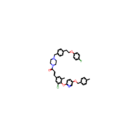 Cc1ccc(COc2ccc(Oc3c(C)cc(C=CC(=O)N4CCN(Cc5ccc(CCOc6ccc(F)cc6)cc5)CC4)cc3Cl)nc2)cc1